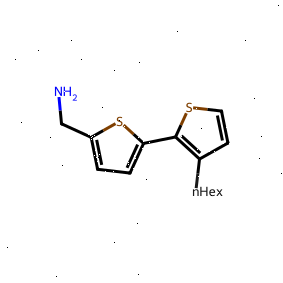 CCCCCCc1ccsc1-c1ccc(CN)s1